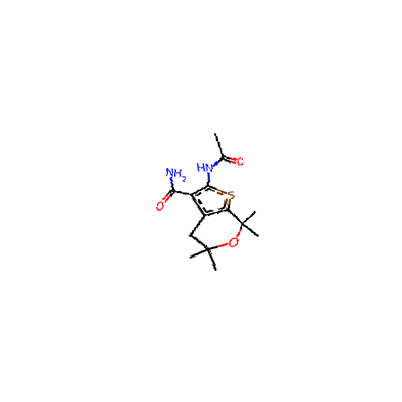 CC(=O)Nc1sc2c(c1C(N)=O)CC(C)(C)OC2(C)C